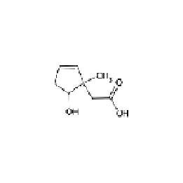 CC1(CC(=O)O)C=CCC1O